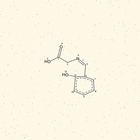 O=C(O)C/N=C\c1ccccc1O